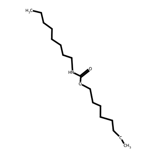 CCCCCCCCNC(=O)OCCCCCCCC